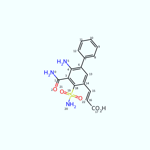 NC(=O)c1c(N)c(-c2ccccc2)cc(/C=C/C(=O)O)c1S(N)(=O)=O